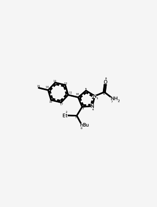 CCCCC(CC)c1nn(C(N)=O)cc1-c1ccc(C)cc1